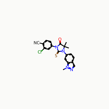 Cn1ncc2ccc(N3C(=S)N(c4ccc(C#N)c(Cl)c4)C(=O)C3(C)C)cc21